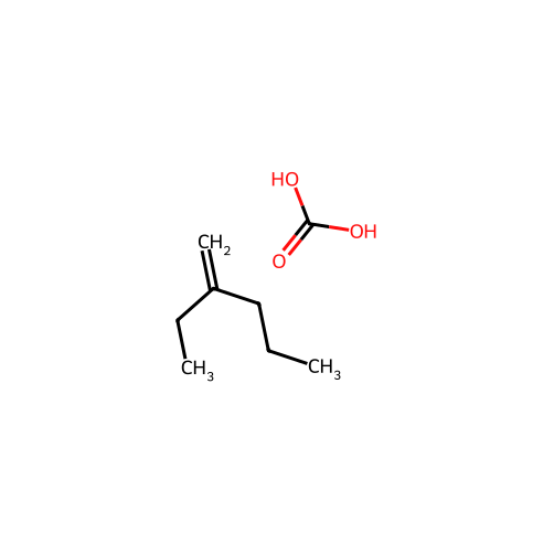 C=C(CC)CCC.O=C(O)O